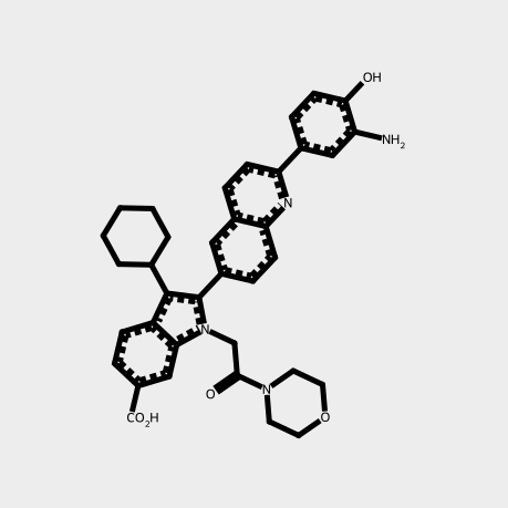 Nc1cc(-c2ccc3cc(-c4c(C5CCCCC5)c5ccc(C(=O)O)cc5n4CC(=O)N4CCOCC4)ccc3n2)ccc1O